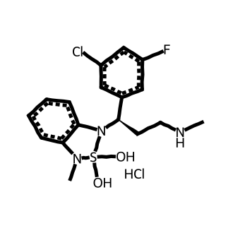 CNCC[C@H](c1cc(F)cc(Cl)c1)N1c2ccccc2N(C)S1(O)O.Cl